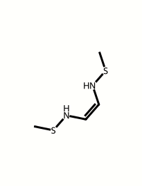 CSN/C=C\NSC